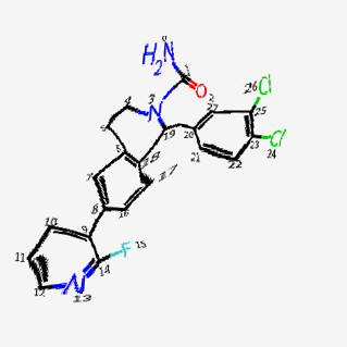 NC(=O)N1CCc2cc(-c3cccnc3F)ccc2C1c1ccc(Cl)c(Cl)c1